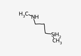 CNCCC[SiH2]C